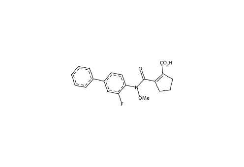 CON(C(=O)C1=C(C(=O)O)CCC1)c1ccc(-c2ccccc2)cc1F